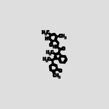 Cc1cc(C)c(CNC(=O)c2c(C)n(C(C)c3ccn(C)c(=O)c3)c3ccccc23)c(=O)[nH]1